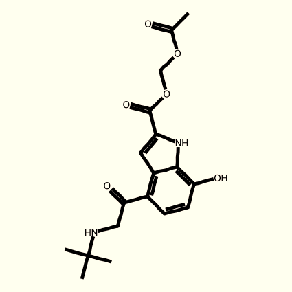 CC(=O)OCOC(=O)c1cc2c(C(=O)CNC(C)(C)C)ccc(O)c2[nH]1